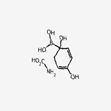 NC(=O)O.OB(O)C1(O)C=CC(O)=CC1